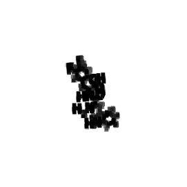 N[C@@H](Cc1c[nH]c2ccccc12)C(=O)NC(Cc1ccc(F)c(F)c1)C(=O)O